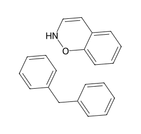 C1=Cc2ccccc2ON1.c1ccc(Cc2ccccc2)cc1